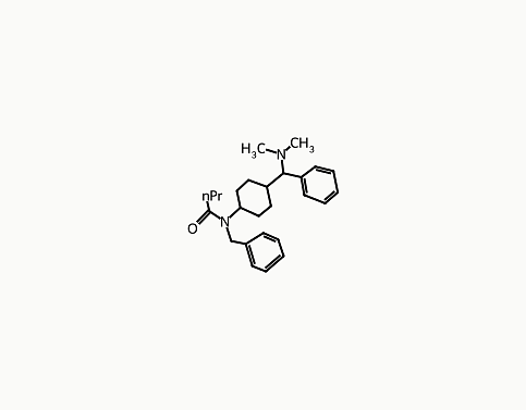 CCCC(=O)N(Cc1ccccc1)C1CCC(C(c2ccccc2)N(C)C)CC1